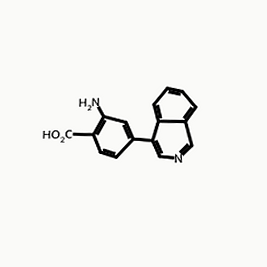 Nc1cc(-c2cncc3ccccc23)ccc1C(=O)O